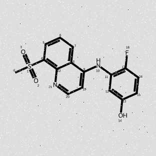 CS(=O)(=O)c1cccc2c(Nc3cc(O)ccc3F)ccnc12